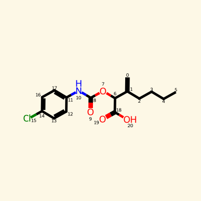 C=C(CCCC)C(OC(=O)Nc1ccc(Cl)cc1)C(=O)O